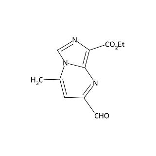 CCOC(=O)c1ncn2c(C)cc(C=O)nc12